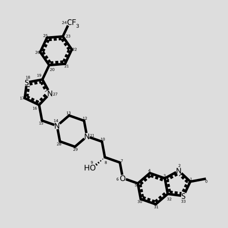 Cc1nc2cc(OC[C@H](O)CN3CCN(Cc4csc(-c5ccc(C(F)(F)F)cc5)n4)CC3)ccc2s1